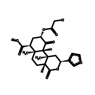 COC(=O)[C@@H]1C[C@H](OC(=O)CCl)C(=O)[C@H]2[C@@]1(C)CC[C@H]1C(=O)O[C@@H](c3ccoc3)C[C@]21C